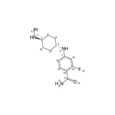 CC(C)N[C@H]1CC[C@H](Nc2ccc(C(N)=O)c(F)c2)CC1